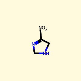 O=[N+]([O-])C1=N[C]NC1